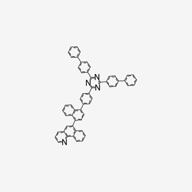 c1ccc(-c2ccc(-c3nc(-c4ccc(-c5ccccc5)cc4)nc(-c4ccc(-c5ccc(-c6cc7cccnc7c7ccccc67)c6ccccc56)cc4)n3)cc2)cc1